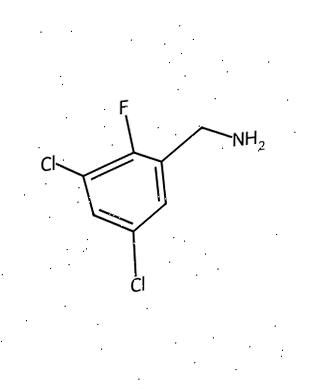 NCc1cc(Cl)cc(Cl)c1F